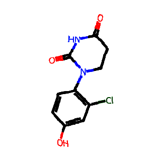 O=C1CCN(c2ccc(O)cc2Cl)C(=O)N1